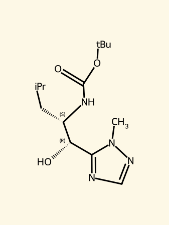 CC(C)C[C@H](NC(=O)OC(C)(C)C)[C@@H](O)c1ncnn1C